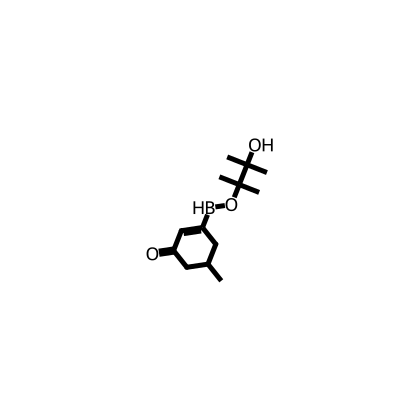 CC1CC(=O)C=C(BOC(C)(C)C(C)(C)O)C1